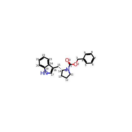 O=C(OCc1ccccc1)N1CCC[C@@H]1Cc1c[nH]c2ccccc12